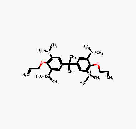 C=CCOc1c([SiH](C)C)cc(C(C)(C)c2cc([SiH](C)C)c(OCC=C)c([SiH](C)C)c2)cc1[SiH](C)C